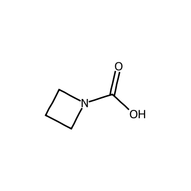 O=C(O)N1CCC1